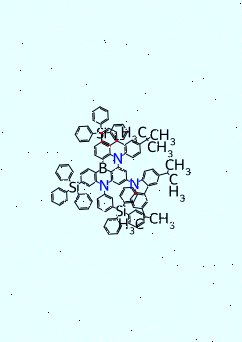 CC(C)c1ccc2c(c1)c1cc(C(C)C)ccc1n2-c1cc2c3c(c1)N(c1ccc(C(C)(C)C)cc1-c1ccccc1)c1cc([Si](c4ccccc4)(c4ccccc4)c4ccccc4)ccc1B3c1ccc([Si](c3ccccc3)(c3ccccc3)c3ccccc3)cc1N2c1cccc([Si](c2ccccc2)(c2ccccc2)c2ccccc2)c1